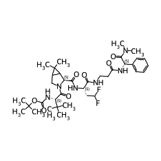 CN(C)C(=O)[C@@H](NC(=O)CCNC(=O)[C@H](CC(F)F)NC(=O)[C@@H]1C2C(CN1C(=O)[C@@H](NC(=O)OC(C)(C)C)C(C)(C)C)C2(C)C)c1ccccc1